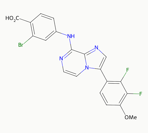 COc1ccc(-c2cnc3c(Nc4ccc(C(=O)O)c(Br)c4)nccn23)c(F)c1F